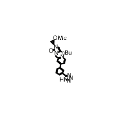 CCCCc1cn(C2CC2OC)c(=O)n1Cc1cc(-c2cccc(-c3nnn[nH]3)c2)ccn1